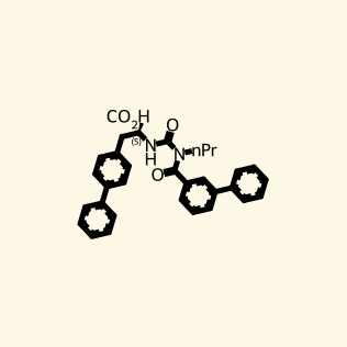 CCCN(C(=O)N[C@@H](Cc1ccc(-c2ccccc2)cc1)C(=O)O)C(=O)c1cccc(-c2ccccc2)c1